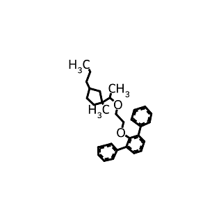 CCCC1CCC(C)(C(C)OCCOc2c(-c3ccccc3)cccc2-c2ccccc2)C1